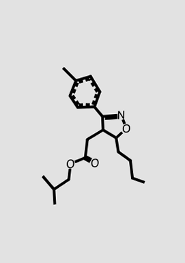 CCCCC1ON=C(c2ccc(C)cc2)C1CC(=O)OCC(C)C